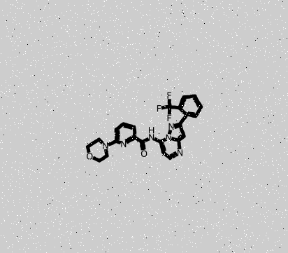 O=C(Nc1ccnc2cc(-c3ccccc3C(F)(F)F)nn12)c1cccc(N2CCOCC2)n1